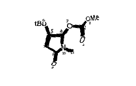 COC(=O)OC1C(C(C)(C)C)=CC(=O)N1C